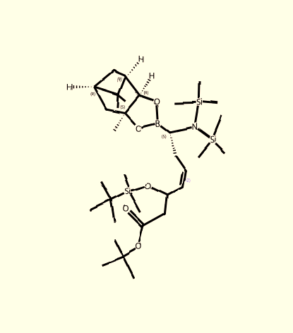 CC(C)(C)OC(=O)CC(/C=C\C[C@H](B1O[C@@H]2[C@@H]3C[C@H](C[C@]2(C)O1)C3(C)C)N([Si](C)(C)C)[Si](C)(C)C)O[Si](C)(C)C(C)(C)C